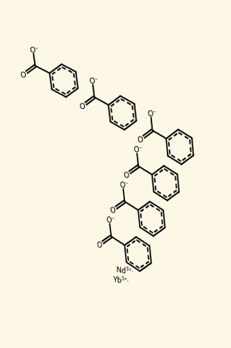 O=C([O-])c1ccccc1.O=C([O-])c1ccccc1.O=C([O-])c1ccccc1.O=C([O-])c1ccccc1.O=C([O-])c1ccccc1.O=C([O-])c1ccccc1.[Nd+3].[Yb+3]